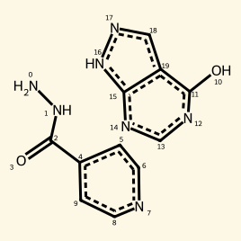 NNC(=O)c1ccncc1.Oc1ncnc2[nH]ncc12